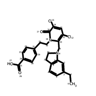 CCc1ccc2c(c1)N(Cc1c(Cl)cc(Cl)c(=O)n1CCc1ccc(C(=O)O)cc1)CC2